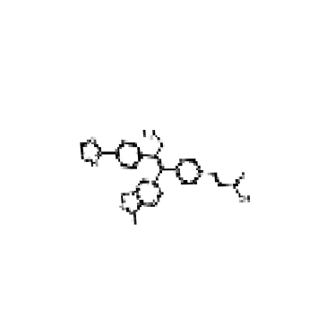 CCC(=C(c1ccc(C=CC(=O)O)cc1)c1ccc2[nH]ncc2c1)c1ccc(-c2nccs2)cc1